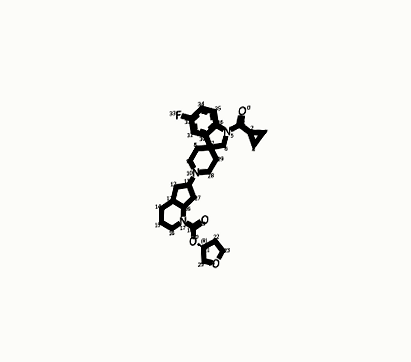 O=C(C1CC1)N1CC2(CCN(C3CC4CCCN(C(=O)O[C@@H]5CCOC5)C4C3)CC2)c2cc(F)ccc21